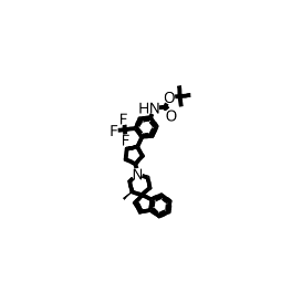 C[C@H]1CN(C2CCC(c3ccc(NC(=O)OC(C)(C)C)cc3C(F)(F)F)C2)CCC12C=Cc1ccccc12